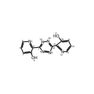 Oc1cccnc1-c1nnc(-c2ncccc2O)nn1